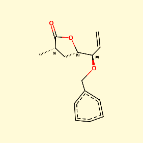 C=C[C@@H](OCc1ccccc1)[C@@H]1C[C@H](C)C(=O)O1